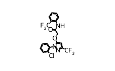 O=C(COc1cc(C(F)(F)F)nn1-c1ccccc1Cl)Nc1ccccc1C(F)(F)F